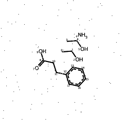 CCO.CCO.N.O=C(O)CCc1ccccc1